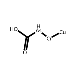 O=C(O)[AsH][Cr][Cu]